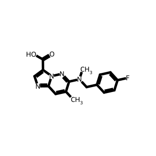 Cc1cc2ncc(C(=O)O)n2nc1N(C)Cc1ccc(F)cc1